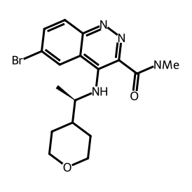 CNC(=O)c1nnc2ccc(Br)cc2c1N[C@H](C)C1CCOCC1